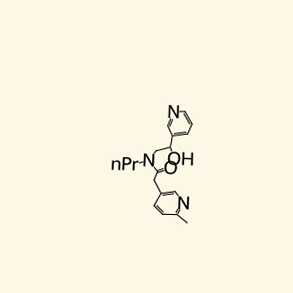 CCCN(CC(O)c1cccnc1)C(=O)Cc1ccc(C)nc1